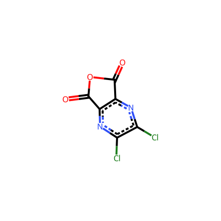 O=C1OC(=O)c2nc(Cl)c(Cl)nc21